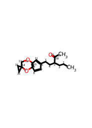 CCCC(CCc1ccc2c(c1)OCC1(CC1)O2)C(C)=O